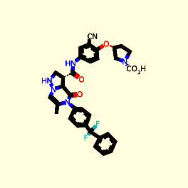 CC1=CN2NC[C@H](C(=O)Nc3ccc(O[C@@H]4CCN(C(=O)O)C4)c(C#N)c3)C2C(=O)N1c1ccc(C(F)(F)c2ccccc2)cc1